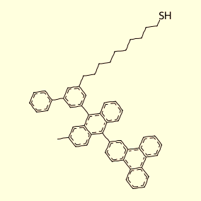 Cc1ccc2c(-c3ccc4c5ccccc5c5ccccc5c4c3)c3ccccc3c(-c3cc(CCCCCCCCCCS)cc(-c4ccccc4)c3)c2c1